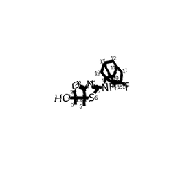 CC(C)(O)C1(C)SC(NC23CC4CC(CC(F)(C4)C2)C3)=NC1=O